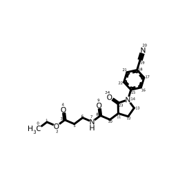 CCOC(=O)CCNC(=O)CC1CCN(c2ccc(C#N)cc2)C1=O